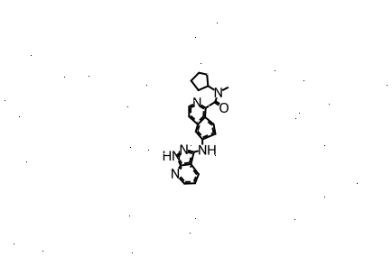 CN(C(=O)c1nccc2cc(Nc3n[nH]c4ncccc34)ccc12)C1CCCC1